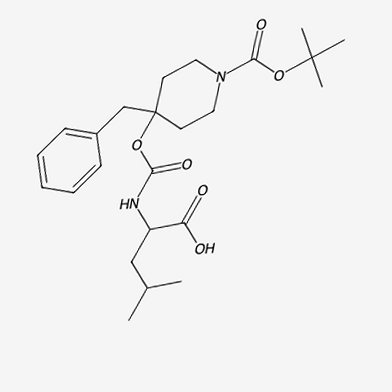 CC(C)CC(NC(=O)OC1(Cc2ccccc2)CCN(C(=O)OC(C)(C)C)CC1)C(=O)O